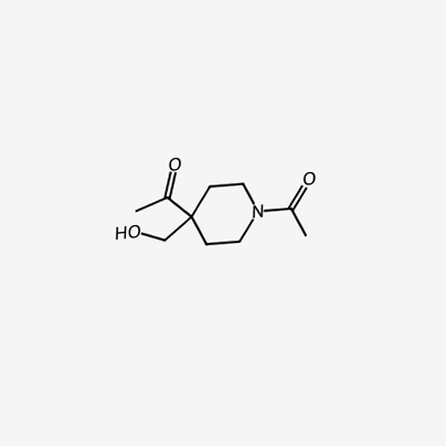 CC(=O)N1CCC(CO)(C(C)=O)CC1